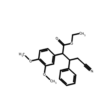 CCOC(=O)C(c1ccc(OC)c(OC)c1)C(CC#N)c1ccccc1